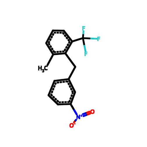 Cc1cccc(C(F)(F)F)c1Cc1cccc([N+](=O)[O-])c1